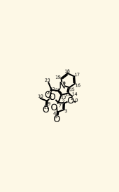 COC1=CC(=O)OC1(OC(C)=O)c1c(C)c2ccccn2c1C(C)=O